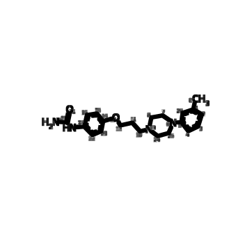 Cc1cccc(N2CCN(CCCOc3ccc(NC(N)=O)cc3)CC2)c1